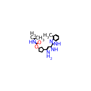 Cc1cccc2[nH]c(C(=N)/C=C(\N)C3CCC(OC(=O)NC(C)C)C3)nc12